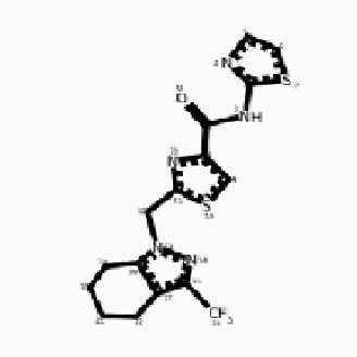 O=C(Nc1nccs1)c1csc(Cn2nc(C(F)(F)F)c3c2CCCC3)n1